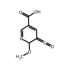 COC1N=CC(C(=O)O)=CC1=C=O